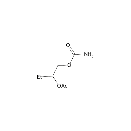 CCC(COC(N)=O)OC(C)=O